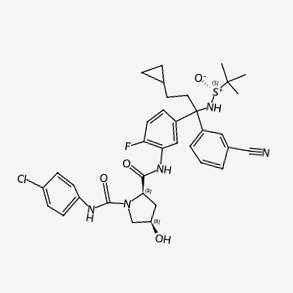 CC(C)(C)[S@@+]([O-])NC(CCC1CC1)(c1cccc(C#N)c1)c1ccc(F)c(NC(=O)[C@H]2C[C@@H](O)CN2C(=O)Nc2ccc(Cl)cc2)c1